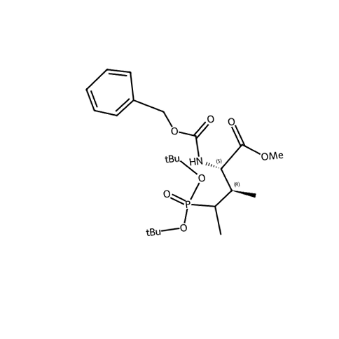 COC(=O)[C@@H](NC(=O)OCc1ccccc1)[C@@H](C)C(C)P(=O)(OC(C)(C)C)OC(C)(C)C